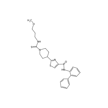 COCCCNC(=S)N1CCC(c2nc(C(=O)Nc3ccccc3-c3ccccc3)cs2)CC1